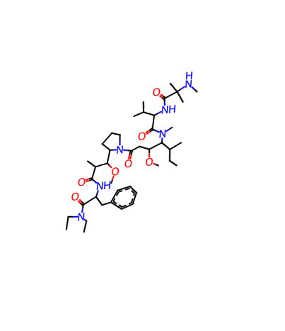 CCC(C)C(C(CC(=O)N1CCCC1C(OC)C(C)C(=O)NC(Cc1ccccc1)C(=O)N(CC)CC)OC)N(C)C(=O)C(NC(=O)C(C)(C)NC)C(C)C